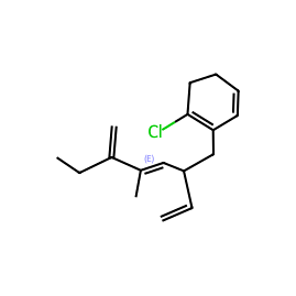 C=CC(/C=C(\C)C(=C)CC)CC1=C(Cl)CCC=C1